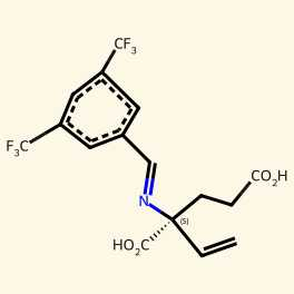 C=C[C@](CCC(=O)O)(N=Cc1cc(C(F)(F)F)cc(C(F)(F)F)c1)C(=O)O